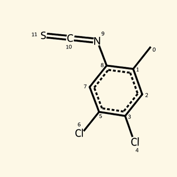 Cc1cc(Cl)c(Cl)cc1N=C=S